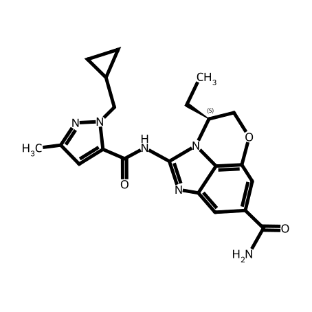 CC[C@H]1COc2cc(C(N)=O)cc3nc(NC(=O)c4cc(C)nn4CC4CC4)n1c23